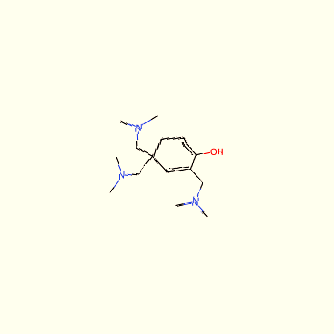 CN(C)CC1=CC(CN(C)C)(CN(C)C)CC=C1O